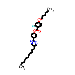 CCCCCCCCCc1cnc(-c2ccc(OC(=O)c3ccc(OCCCCCC)cc3F)cc2)nc1